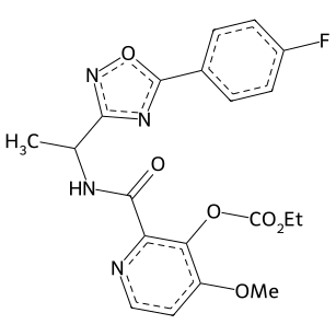 CCOC(=O)Oc1c(OC)ccnc1C(=O)NC(C)c1noc(-c2ccc(F)cc2)n1